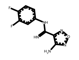 N=C(Nc1ccc(F)c(F)c1)c1nonc1N